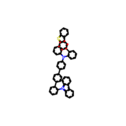 c1ccc(N(c2ccc(-c3ccc(-c4ccccc4-n4c5ccccc5c5ccccc54)cc3)cc2)c2cccc3ccccc23)c(-c2ccc3sc4ccccc4c3c2)c1